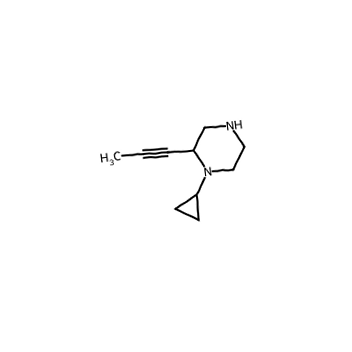 CC#CC1CNCCN1C1CC1